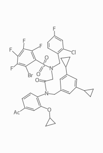 CC(=O)c1ccc(N(Cc2cc(C3CC3)cc(C3CC3)c2)C(=O)CN(Cc2ccc(F)cc2Cl)S(=O)(=O)c2c(F)c(F)c(F)c(F)c2Br)c(OC2CC2)c1